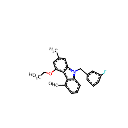 Cc1cc(OCC(=O)O)c2c3c(C=O)cccc3n(Cc3cccc(F)c3)c2c1